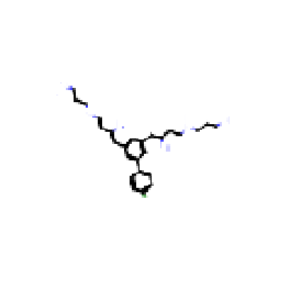 NCCCNCCC(N)Cc1cc(CC(N)CCNCCCN)cc(-c2ccc(F)cc2)c1